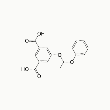 CC(Oc1ccccc1)Oc1cc(C(=O)O)cc(C(=O)O)c1